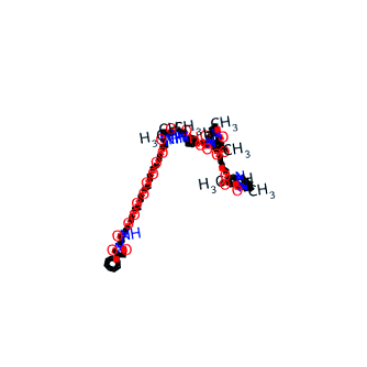 COc1cc2c(cc1OCCCCCOc1cc3c(cc1OC)C(=O)N1C=C(C)C[C@H]1[C@H](O)N3C(=O)COc1ccc(NC(=O)[C@H](C)NC(=O)[C@@H](NC(=O)CCOCCOCCOCCOCCOCCOCCOCCOCCNC(=O)CCN3C(=O)CC(C4CCCCCCC4)C3=O)C(C)C)cc1)N=C[C@@H]1CC(C)=CN1C2=O